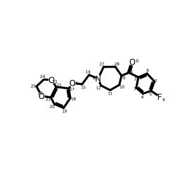 O=C(c1ccc(F)cc1)C1CCCN(CCOc2cccc3c2OCCO3)CC1